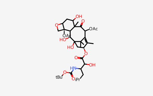 CC(=O)OC1C(=O)C2(C)C(O)CC3OC[C@@]3(OC(C)=O)C2[C@H](O)C2(O)C[C@H](OC(=O)C(O)C(CC(C)C)NC(=O)OC(C)(C)C)C(C)=C1C2(C)C